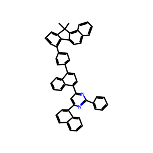 CC1(C)c2cccc(-c3ccc(-c4ccc(-c5cc(-c6cccc7ccccc67)nc(-c6ccccc6)n5)c5ccccc45)cc3)c2-c2ccc3ccccc3c21